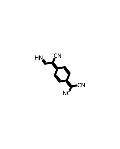 N#CC(C#N)=c1ccc(=C(C#N)C=N)cc1